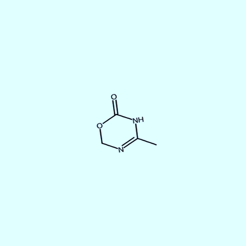 CC1=NCOC(=O)N1